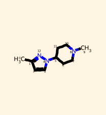 Cc1ccn(C2CCN(C)CC2)n1